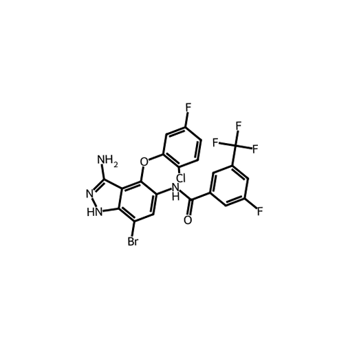 Nc1n[nH]c2c(Br)cc(NC(=O)c3cc(F)cc(C(F)(F)F)c3)c(Oc3cc(F)ccc3Cl)c12